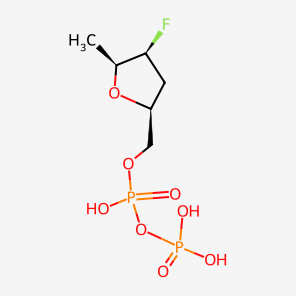 C[C@@H]1O[C@H](COP(=O)(O)OP(=O)(O)O)C[C@@H]1F